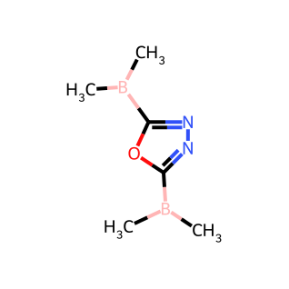 CB(C)c1nnc(B(C)C)o1